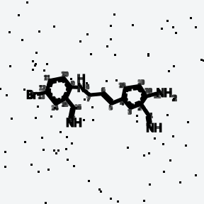 N=Cc1cc(/C=C/CNc2ccc(Br)cc2C=N)ccc1N